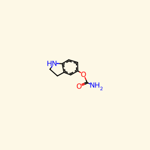 NC(=O)Oc1ccc2c(c1)CCN2